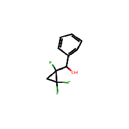 OC(c1ccccc1)C1(F)CC1(F)F